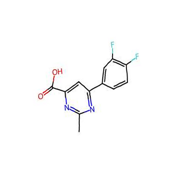 Cc1nc(C(=O)O)cc(-c2ccc(F)c(F)c2)n1